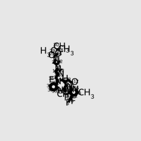 Cc1cc(C(F)(F)F)cc(N2C(=O)C[C@@H]3CN(Cc4cn(C5CN(C(=O)OC(C)(C)C)C5)cn4)c4c(F)cccc4N(C)C(=O)[C@H]32)n1